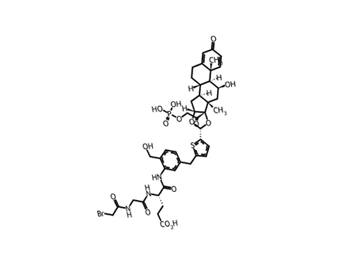 C[C@]12C=CC(=O)C=C1CC[C@@H]1[C@@H]2[C@@H](O)C[C@@]2(C)[C@H]1C[C@H]1O[C@@H](c3ccc(Cc4ccc(CO)c(NC(=O)[C@H](CCC(=O)O)NC(=O)CNC(=O)CBr)c4)s3)O[C@]12C(=O)COP(=O)(O)O